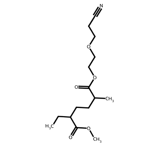 CCC(CCC(C)C(=O)OCCOCCC#N)C(=O)OC